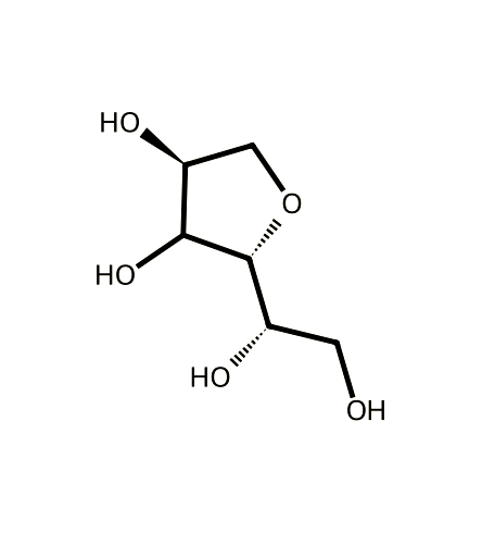 OC[C@H](O)[C@H]1OC[C@H](O)C1O